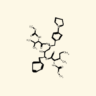 CC[C@H](C)[C@H](NC(=O)OC)C(=O)N[C@@H](Cc1ccccc1)[C@@H](O)CN(Cc1ccc(N2CCCC2)cc1)NC(=O)[C@@H](NC(=O)OC)C(C)C